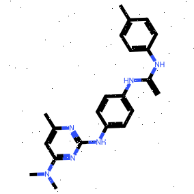 C=C(Nc1ccc(C)cc1)Nc1ccc(Nc2nc(C)cc(N(C)C)n2)cc1